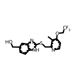 Cc1c(OCC(F)(F)F)ccnc1CSc1nc2cc(CO)ccc2[nH]1